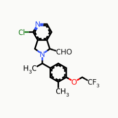 Cc1cc(C(C)N2Cc3c(ccnc3Cl)C2C=O)ccc1OCC(F)(F)F